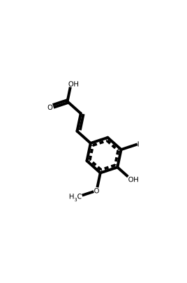 COc1cc(/C=C/C(=O)O)cc(I)c1O